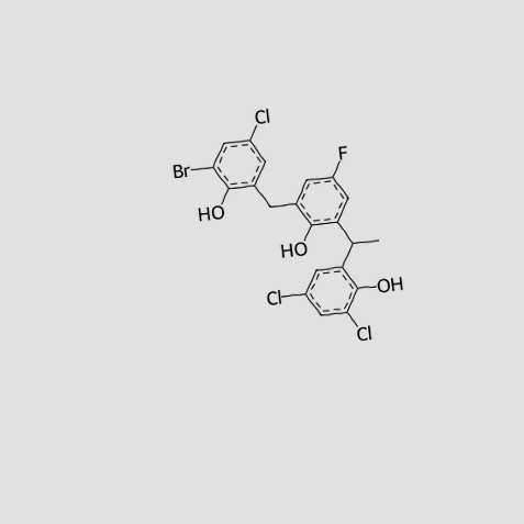 CC(c1cc(Cl)cc(Cl)c1O)c1cc(F)cc(Cc2cc(Cl)cc(Br)c2O)c1O